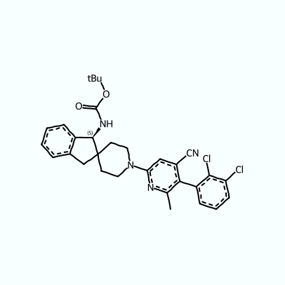 Cc1nc(N2CCC3(CC2)Cc2ccccc2[C@H]3NC(=O)OC(C)(C)C)cc(C#N)c1-c1cccc(Cl)c1Cl